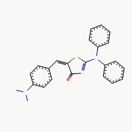 CN(C)c1ccc(/C=C2/SC(N(c3ccccc3)c3ccccc3)=NC2=O)cc1